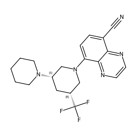 N#Cc1ccc(N2C[C@@H](N3CCCCC3)C[C@@H](C(F)(F)F)C2)c2nccnc12